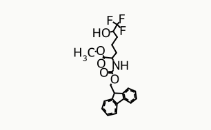 COC(=O)C(CCCC(O)C(F)(F)F)NC(=O)OCC1c2ccccc2-c2ccccc21